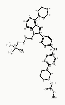 CC(C)(C)OC(=O)N[C@@H]1CCCN(c2ncc(Nc3ccc(-c4cc5c(N6CCOCC6)ncnc5n4COCC[Si](C)(C)C)cc3)cn2)C1